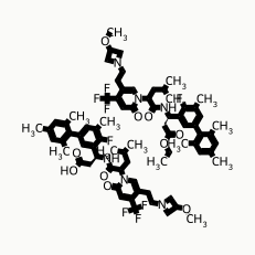 CCOC(=O)C[C@H](NC(=O)C(CC(C)C)n1cc(CCN2CC(OC)C2)c(C(F)(F)F)cc1=O)c1cc(-c2c(C)cc(C)cc2C)cc(C)c1F.COC1CN(CCc2cn(C(CC(C)C)C(=O)N[C@@H](CC(=O)O)c3cc(-c4c(C)cc(C)cc4C)cc(C)c3F)c(=O)cc2C(F)(F)F)C1